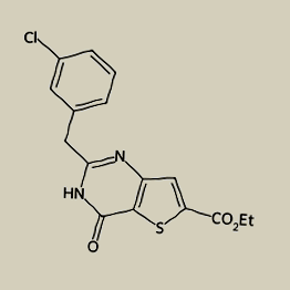 CCOC(=O)c1cc2nc(Cc3cccc(Cl)c3)[nH]c(=O)c2s1